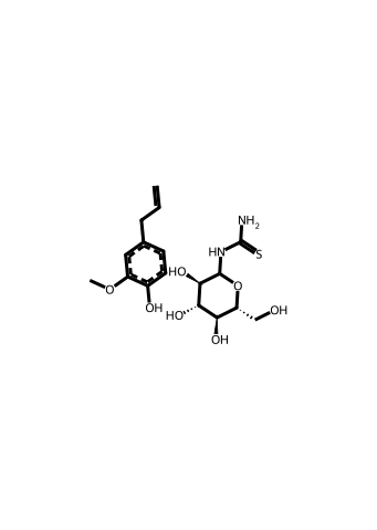 C=CCc1ccc(O)c(OC)c1.NC(=S)NC1O[C@H](CO)[C@@H](O)[C@H](O)[C@H]1O